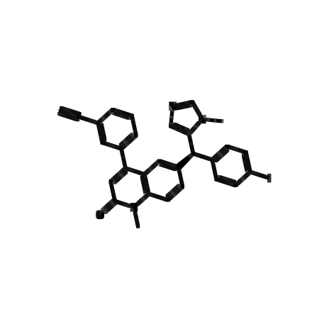 C#Cc1cccc(-c2cc(=O)n(C)c3ccc([C@H](c4ccc(I)cc4)c4cncn4C)cc23)c1